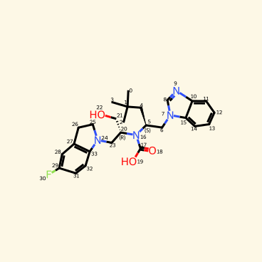 CC(C)(C)C[C@@H](Cn1cnc2ccccc21)N(C(=O)O)[C@@H](CO)CN1CCc2cc(F)ccc21